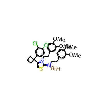 Br.COc1ccc(CCN=c2scc(C3(c4ccc(Cl)c(Cl)c4)CCC3)n2CCc2ccc(OC)c(OC)c2)cc1OC